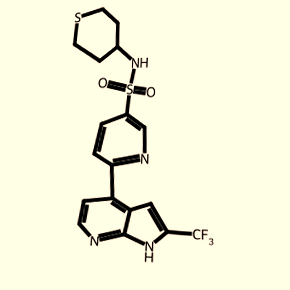 O=S(=O)(NC1CCSCC1)c1ccc(-c2ccnc3[nH]c(C(F)(F)F)cc23)nc1